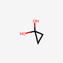 OC1(O)CC1